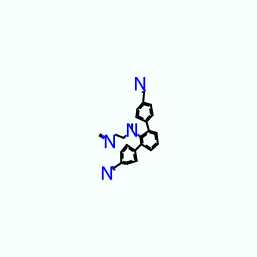 C=NCCN(C)c1c(-c2ccc(C#N)cc2)cccc1-c1ccc(C#N)cc1